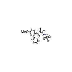 CO[C@H]1CCN(C(=O)NC(C)/C=C/S(C)(=O)=O)[C@@H](c2ccccc2)C1